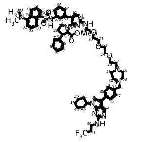 COC(=O)C1C(c2ccccc2)CCN1c1nc(NCOCCOCCOCCN2CCN(Cc3ccc(-c4cn(C5CCCCC5)c5nc(NCCC(F)(F)F)ncc45)cc3)CC2)ncc1-c1cccc(NS(=O)(=O)c2cccc3c(N(C)C)cccc23)c1